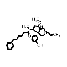 C=CCN1CC[C@@]2(c3cccc(O)c3)C[C@@H](N(C)C(=O)CCCCCc3ccccc3)CC(OC)[C@@H]2C1